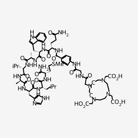 CSCC[C@H](NC(=O)[C@H](CC(C)C)NC(=O)[C@H](Cc1c[nH]cn1)NC(=O)[C@@H](C)NC(=O)[C@@H](NC(=O)[C@H](C)NC(=O)[C@H](Cc1c[nH]c2ccccc12)NC(=O)[C@H](CCC(N)=O)NC(=O)c1ccc(NC(=O)CNC(=O)CN2CCN(CC(=O)O)CCN(CC(=O)O)CCN(CC(=O)O)CC2)cc1)C(C)C)C(N)=O